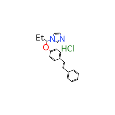 CCC(Oc1ccc(/C=C/c2ccccc2)cc1)n1ccnc1.Cl